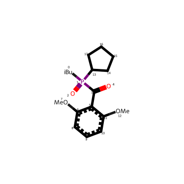 CCC(C)P(=O)(C(=O)c1c(OC)cccc1OC)C1CCCC1